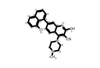 CN1CCN(C2=C(C#N)C(O)=NC3C=C(c4cccc5cccc(Cl)c45)C=CC23)CC1